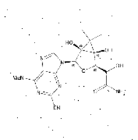 CNc1nc(C#N)nc2c1ncn2[C@@H]1O[C@H](C(O)C(N)=O)[C@@]2(O)C(C)(C)[C@@]12O